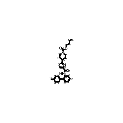 CCCCOC(=O)N1CCC(c2nc(C(=O)Nc3ccccc3-c3ccc(C)cc3)cs2)CC1